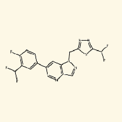 Fc1ccc(-c2cnc3cnn(Cc4nnc(C(F)F)s4)c3c2)cc1C(F)F